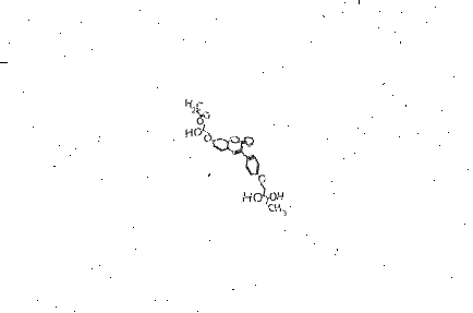 C=CC(=O)OCC(O)COC1=CC2OC(=O)C(c3ccc(OCCC(O)C(O)CC)cc3)=CC2C=C1